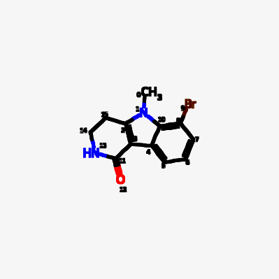 Cn1c2c(c3cccc(Br)c31)C(=O)NCC2